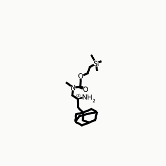 CN(C[C@@H](N)CC12CC3CC(CC(C3)C1)C2)C(=O)OCC[Si](C)(C)C